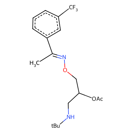 CC(=O)OC(CNC(C)(C)C)CON=C(C)c1cccc(C(F)(F)F)c1